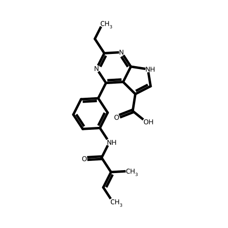 C/C=C(\C)C(=O)Nc1cccc(-c2nc(CC)nc3[nH]cc(C(=O)O)c23)c1